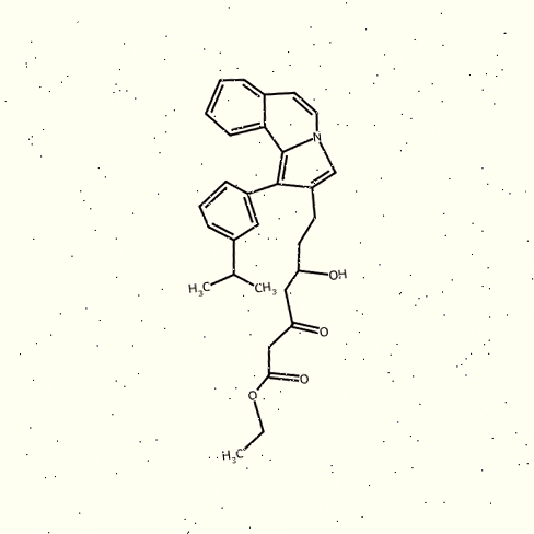 CCOC(=O)CC(=O)CC(O)CCc1cn2ccc3ccccc3c2c1-c1cccc(C(C)C)c1